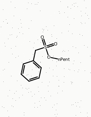 CCCCCOS(=O)(=O)Cc1ccccc1